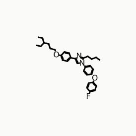 CCCCc1nc(-c2ccc(OCCCC(CC)CC)cc2)cn1-c1ccc(Oc2ccc(F)cc2)cc1